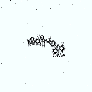 COc1ccc(N(Cc2cnccc2C)C2CCN([C@H](C)CCNC(=O)c3c(C)cc(OC(=O)N(C)C)cc3C)CC2)cc1